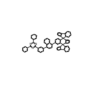 c1ccc(-c2nc(-c3ccccc3)nc(-c3cccc(-c4ccc(-c5ccc6c(c5)C5(c7ccccc7-c7ccccc75)c5ccccc5C65c6ccccc6-c6ccccc65)c5ccccc45)c3)n2)cc1